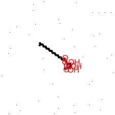 COC1O[C@H](COC(=O)CCCCCCCCCCCCCCC(C)C)[C@@H](O)[C@H](O)[C@H]1O